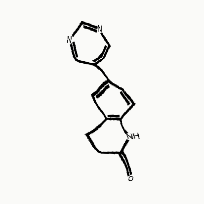 O=C1CCc2cc(-c3cncnc3)ccc2N1